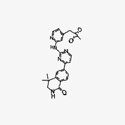 CC1(C)CNC(=O)c2ccc(-c3ccnc(Nc4cc(CS(C)(=O)=O)ccn4)n3)cc21